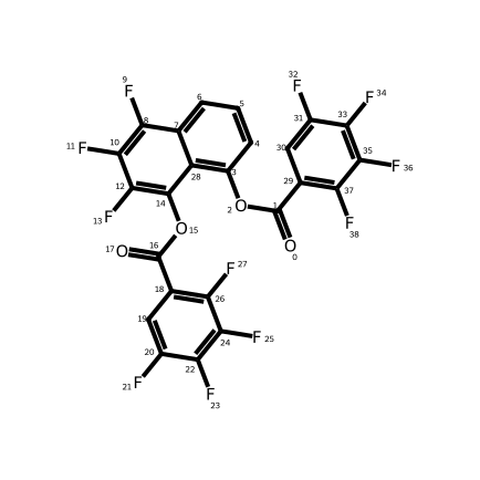 O=C(Oc1cccc2c(F)c(F)c(F)c(OC(=O)c3cc(F)c(F)c(F)c3F)c12)c1cc(F)c(F)c(F)c1F